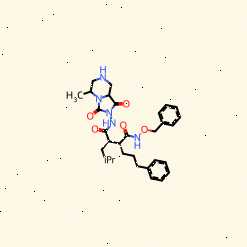 CC(C)C[C@@H](C(=O)NN1C(=O)C2CNCC(C)N2C1=O)[C@H](CCCc1ccccc1)C(=O)NOCc1ccccc1